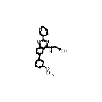 C#CCNc1nc(-c2cccnc2)nc2ccc(-c3cccc(OC)c3)cc12